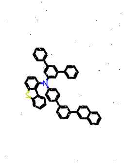 c1ccc(-c2cc(-c3ccccc3)cc(N(c3ccc(-c4cccc(-c5ccc6ccccc6c5)c4)cc3)c3cccc4sc5ccccc5c34)c2)cc1